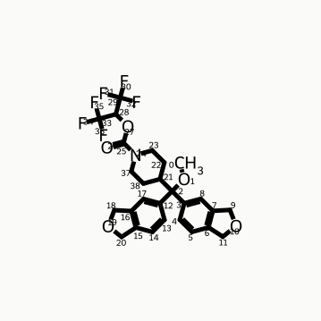 COC(c1ccc2c(c1)COC2)(c1ccc2c(c1)COC2)C1CCN(C(=O)OC(C(F)(F)F)C(F)(F)F)CC1